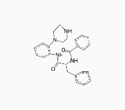 O=C(NC(Cc1ccccc1)C(=O)Nc1ccccc1N1CCNCC1)c1ccccc1